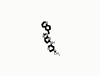 COc1cncc(Nc2ccc3nnn(Cc4ccc5ncccc5c4)c3n2)c1